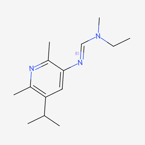 CCN(C)/C=N/c1cc(C(C)C)c(C)nc1C